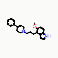 COc1ccc2[nH]ccc2c1CCCN1CC=C(c2ccccc2)CC1